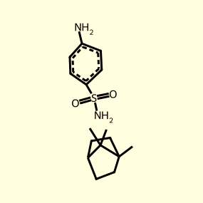 CC12CCC(CC1)C2(C)C.Nc1ccc(S(N)(=O)=O)cc1